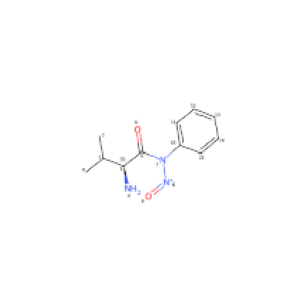 CC(C)[C@H](N)C(=O)N([N+]=O)c1ccccc1